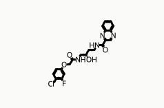 O=C(COc1ccc(Cl)c(F)c1)NC[C@@H](O)CCNC(=O)c1cnc2ccccc2n1